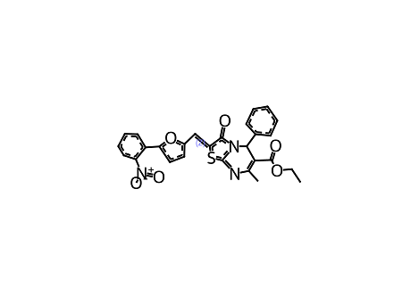 CCOC(=O)C1=C(C)N=c2s/c(=C\c3ccc(-c4ccccc4[N+](=O)[O-])o3)c(=O)n2C1c1ccccc1